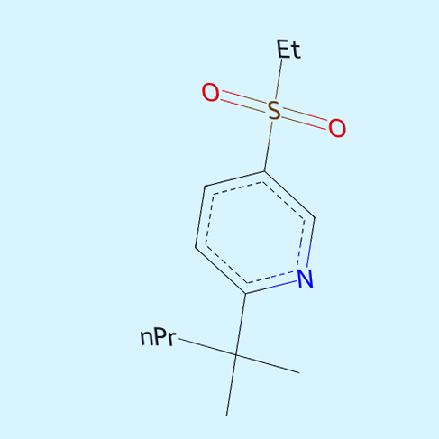 CCCC(C)(C)c1ccc(S(=O)(=O)CC)cn1